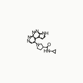 O=C(NC1CC1)C1CCN(c2cnnc3nnc4[nH]ccc4c23)C1